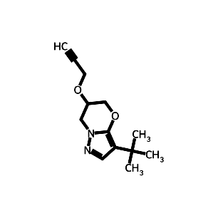 C#CCOC1COc2c(C(C)(C)C)cnn2C1